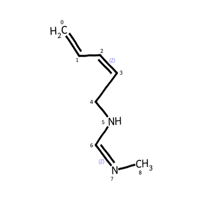 C=C/C=C\CN/C=N\C